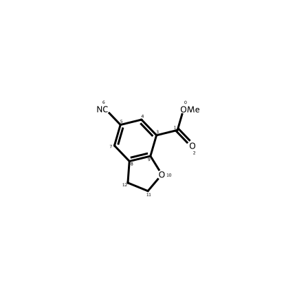 COC(=O)c1cc(C#N)cc2c1OCC2